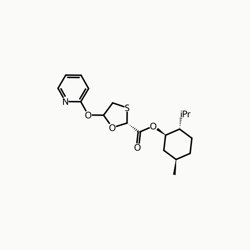 CC(C)[C@@H]1CC[C@@H](C)C[C@H]1OC(=O)[C@@H]1OC(Oc2ccccn2)CS1